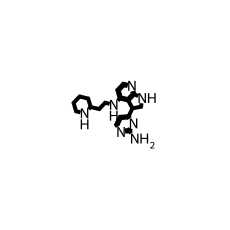 Nc1nccc(C2CNc3nccc(NCCC4CCCCN4)c32)n1